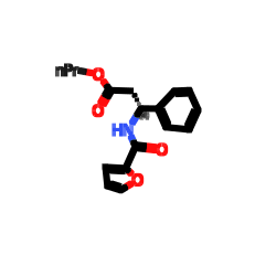 CCCOC(=O)C[C@@H](NC(=O)c1ccco1)c1ccccc1